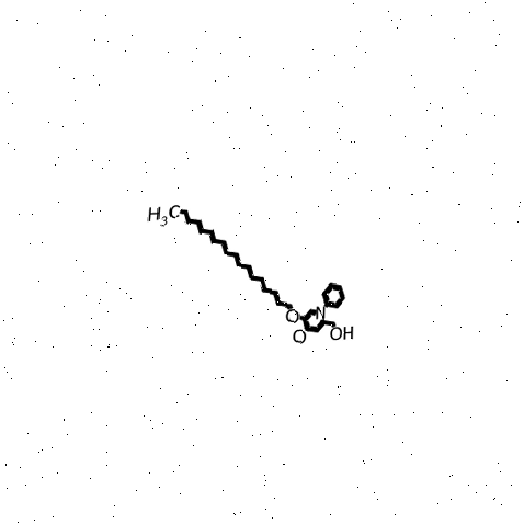 CCCCCCCCCCCCCCCCCCOc1cn(-c2ccccc2)c(CO)cc1=O